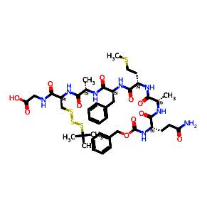 CSCC[C@H](NC(=O)[C@H](C)NC(=O)[C@H](CCC(N)=O)NC(=O)OCc1ccccc1)C(=O)N[C@@H](Cc1ccccc1)C(=O)N[C@@H](C)C(=O)N[C@@H](CSSSC(C)(C)C)C(=O)NCC(=O)O